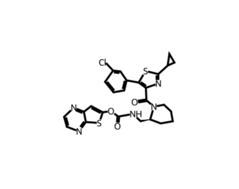 O=C(NC[C@@H]1CCCCN1C(=O)c1nc(C2CC2)sc1-c1cccc(Cl)c1)Oc1cc2nccnc2s1